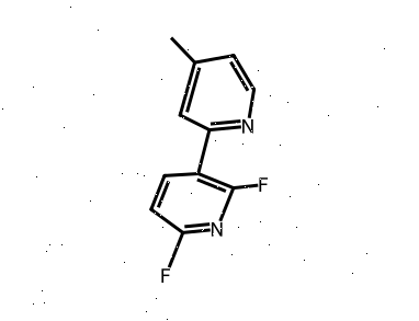 Cc1ccnc(-c2ccc(F)nc2F)c1